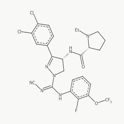 CCN1CCC[C@@H]1C(=O)N[C@@H]1CN(C(=NC#N)Nc2cccc(OC(F)(F)F)c2F)N=C1c1ccc(Cl)c(Cl)c1